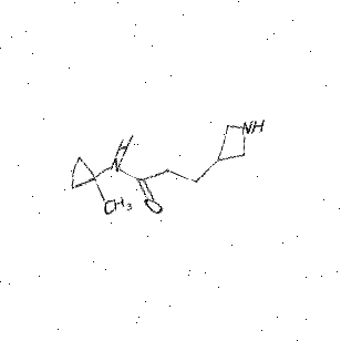 CC1(NC(=O)CCC2CNC2)CC1